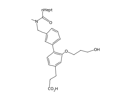 CCCCCCCC(=O)N(C)Cc1cccc(-c2ccc(CCC(=O)O)cc2OCCCO)c1